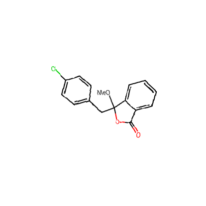 COC1(Cc2ccc(Cl)cc2)OC(=O)c2ccccc21